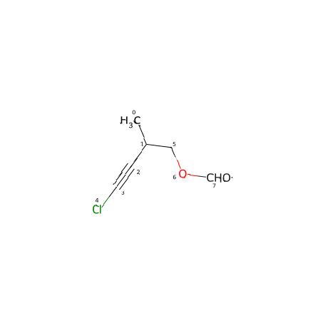 CC(C#CCl)CO[C]=O